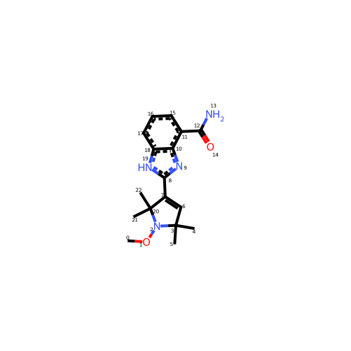 CON1C(C)(C)C=C(c2nc3c(C(N)=O)cccc3[nH]2)C1(C)C